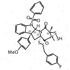 COc1ccc([C@]23C[C@]4(SSCc5ccc(F)cc5)C(=O)N(C)[C@@](C)(SS)C(=O)N4[C@H]2N(S(=O)(=O)c2ccccc2)c2ccccc23)cc1